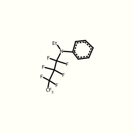 CCN(c1ccccc1)C(F)(F)C(F)(F)C(F)(F)C(F)(F)F